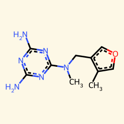 Cc1cocc1CN(C)c1nc(N)nc(N)n1